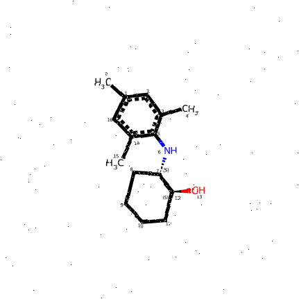 Cc1cc(C)c(N[C@H]2CCCC[C@@H]2O)c(C)c1